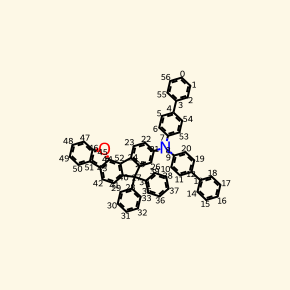 c1ccc(-c2ccc(N(c3ccc(-c4ccccc4)cc3)c3ccc4c(c3)C(c3ccccc3)(c3ccccc3)c3ccc5c(oc6ccccc65)c3-4)cc2)cc1